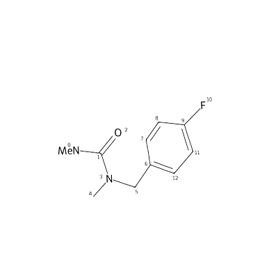 CNC(=O)N(C)Cc1ccc(F)cc1